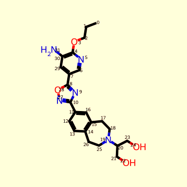 CCCOc1ncc(-c2nc(-c3ccc4c(c3)CCN(C(CO)CO)CC4)no2)cc1N